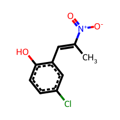 C/C(=C\c1cc(Cl)ccc1O)[N+](=O)[O-]